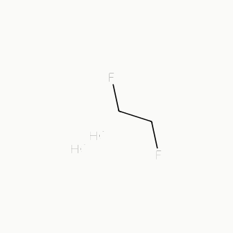 Cl.Cl.FCCF